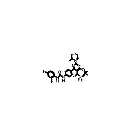 CCN1CC(C)(C)Oc2nc(N3CCOCC3C)nc(-c3ccc(NC(=O)Nc4ccc(F)cc4F)cc3)c2C1=O